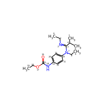 CCN=C(C(C)C)N(CC)c1ccc(NC(=O)OCC)cc1